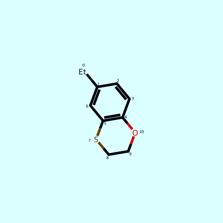 CCc1ccc2c(c1)SCCO2